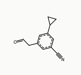 N#Cc1cc(C[C]=O)cc(C2CC2)c1